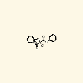 NC(=O)C(Cl)(Oc1ccccn1)C(Cl)Oc1ccccc1